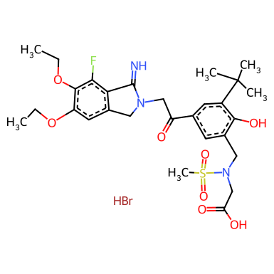 Br.CCOc1cc2c(c(F)c1OCC)C(=N)N(CC(=O)c1cc(CN(CC(=O)O)S(C)(=O)=O)c(O)c(C(C)(C)C)c1)C2